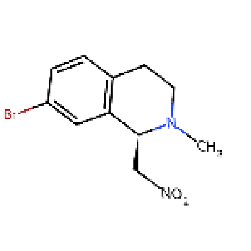 CN1CCc2ccc(Br)cc2[C@@H]1C[N+](=O)[O-]